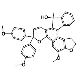 COc1ccc(C2(c3ccc(OC)cc3)C=Cc3c4c(c5c6c(c(OC)cc5c3O2)OCC6)-c2ccccc2C4(C)O)cc1